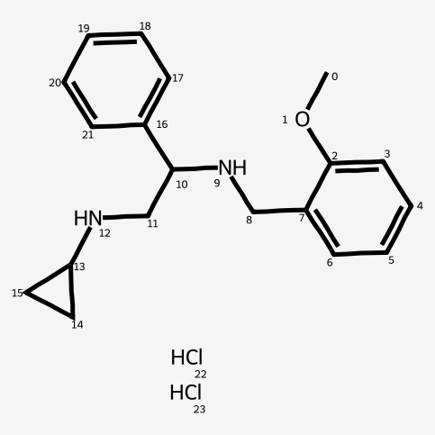 COc1ccccc1CNC(CNC1CC1)c1ccccc1.Cl.Cl